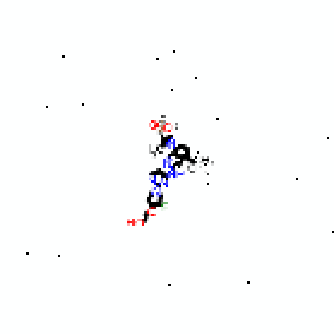 CC(C)c1ccc(N2C[C@H](CS(C)(=O)=O)[C@H]2C)c2cnc(Nc3ccnc(N4CC[C@H](OCCO)[C@H](F)C4)n3)cc12